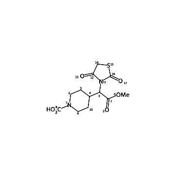 COC(=O)C(C1CCN(C(=O)O)CC1)N1C(=O)CSC1=O